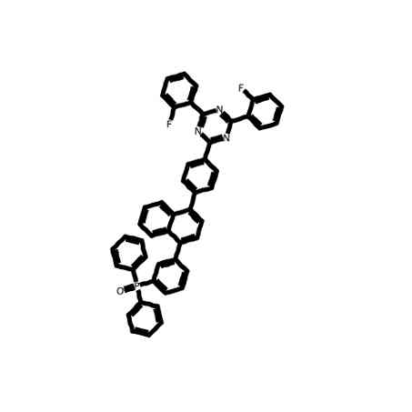 O=P(c1ccccc1)(c1ccccc1)c1cccc(-c2ccc(-c3ccc(-c4nc(-c5ccccc5F)nc(-c5ccccc5F)n4)cc3)c3ccccc23)c1